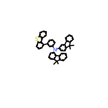 CC1(C)c2ccccc2-c2cc(N(c3cccc(-c4cccc5sc6ccccc6c45)c3)c3cccc4c3-c3ccccc3C4(C)C)ccc21